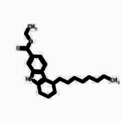 CCCCCCCCC1CCCc2[nH]c3cc(C(=O)OCC)ccc3c21